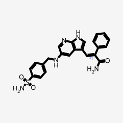 NC(=O)/C(=C/c1c[nH]c2ncc(NCc3ccc(S(N)(=O)=O)cc3)cc12)c1ccccc1